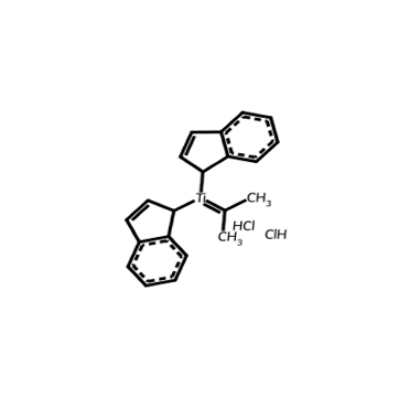 C[C](C)=[Ti]([CH]1C=Cc2ccccc21)[CH]1C=Cc2ccccc21.Cl.Cl